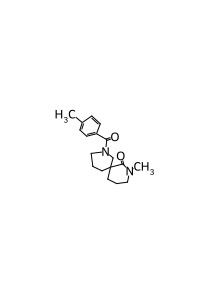 Cc1ccc(C(=O)N2CCCC3(CCCN(C)C3=O)C2)cc1